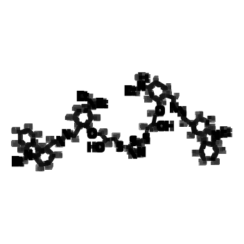 CCN(CC)c1ccc(/C=N/N=C/c2ccc3c(c2)c2ccccc2n3CC)c(OCC(O)CSc2nnc(SCC(O)COc3cc(N(CC)CC)ccc3/C=N/N=C/c3cccc4c3c3ccccc3n4CC)s2)c1